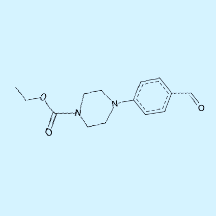 CCOC(=O)N1CCN(c2ccc(C=O)cc2)CC1